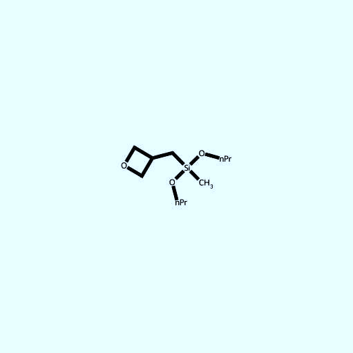 CCCO[Si](C)(CC1COC1)OCCC